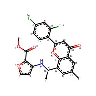 COC(=O)c1occc1N[C@H](C)c1cc(C)cc2c(=O)cc(-c3ccc(F)cc3F)oc12